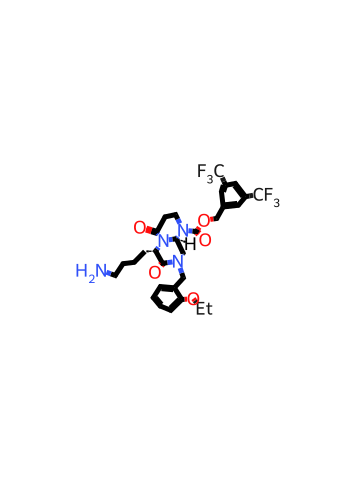 CCOc1ccccc1CN1C[C@@H]2N(C(=O)OCc3cc(C(F)(F)F)cc(C(F)(F)F)c3)CCC(=O)N2[C@@H](CCCCN)C1=O